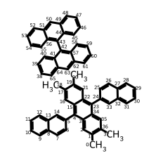 Cc1cc2c(-c3ccc4ccccc4c3)c3cc(C)c(C)cc3c(-c3ccc4ccccc4c3)c2cc1C.c1ccc2c(-c3c4ccccc4cc4ccccc34)c3ccccc3cc2c1